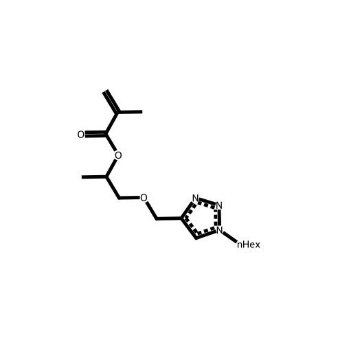 C=C(C)C(=O)OC(C)COCc1cn(CCCCCC)nn1